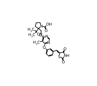 Cc1c(OCC2(C(C)(C)C)CCCN2C(=O)O)ncnc1Oc1cccc(/C=C2\SC(=O)NC2=O)c1